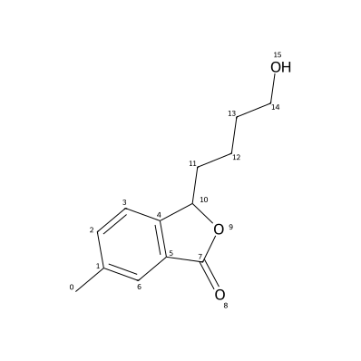 Cc1ccc2c(c1)C(=O)OC2CCCCO